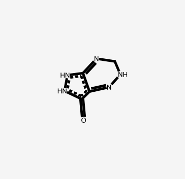 O=c1[nH][nH]c2c1=NNCN=2